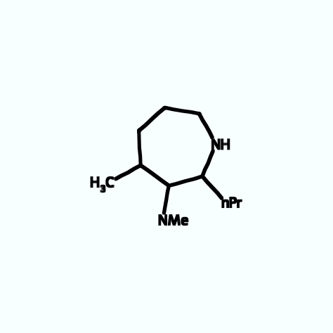 CCCC1NCCCC(C)C1NC